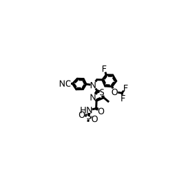 Cc1sc(N(Cc2cc(OC(F)F)ccc2F)c2ccc(C#N)cc2)nc1C(=O)NS(C)(=O)=O